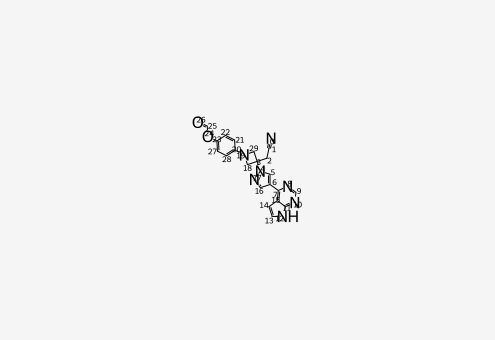 N#CCC1(n2cc(-c3ncnc4[nH]ccc34)cn2)CN(c2ccc(OC=O)cc2)C1